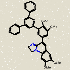 COc1cc2c(cc1OC)N1CCN=C1C(c1cc(OC)c(OC)c(-c3cc(-c4ccccc4)cc(-c4ccccc4)c3)c1)=C2